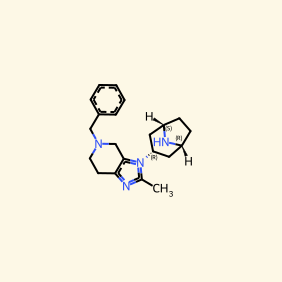 Cc1nc2c(n1[C@H]1C[C@H]3CC[C@@H](C1)N3)CN(Cc1ccccc1)CC2